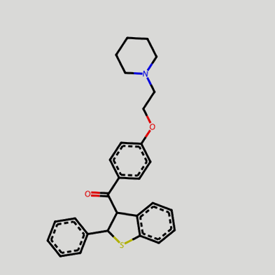 O=C(c1ccc(OCCN2CCCCC2)cc1)C1c2ccccc2SC1c1ccccc1